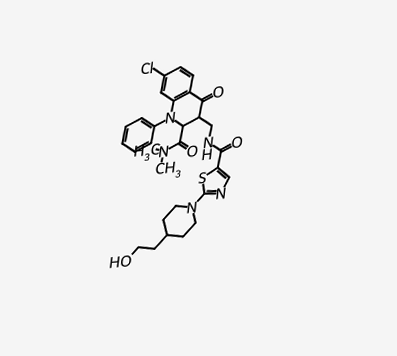 CN(C)C(=O)C1C(CNC(=O)c2cnc(N3CCC(CCO)CC3)s2)C(=O)c2ccc(Cl)cc2N1c1ccccc1